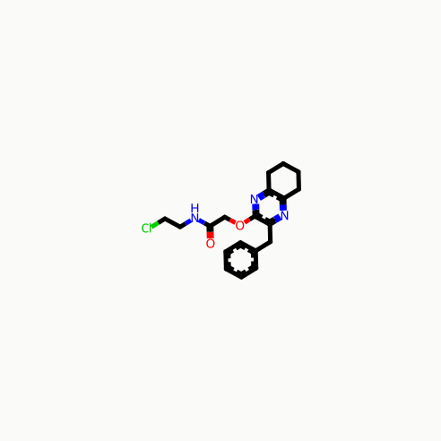 O=C(COc1nc2c(nc1Cc1ccccc1)CCCC2)NCCCl